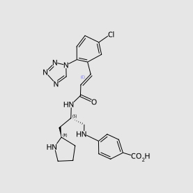 O=C(/C=C/c1cc(Cl)ccc1-n1cnnn1)N[C@H](CNc1ccc(C(=O)O)cc1)C[C@H]1CCCN1